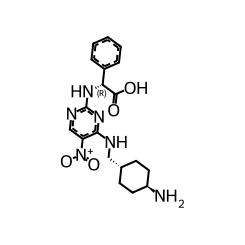 N[C@H]1CC[C@H](CNc2nc(N[C@@H](C(=O)O)c3ccccc3)ncc2[N+](=O)[O-])CC1